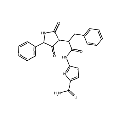 NC(=O)c1csc(NC(=O)C(Cc2ccccc2)N2C(=O)NC(c3ccccc3)C2=O)n1